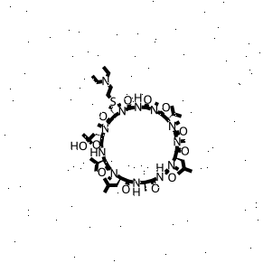 CCN(CC)CCSC[C@H]1C(=O)N(C)[C@@H](CC(C)(C)O)C(=O)N[C@H](C(C)C)C(=O)N(C)[C@H](CC(C)C)C(=O)N[C@H](C)C(=O)NC(=O)N(C)[C@H](CC(C)C)C(=O)N(C)C(=O)N(C)[C@@H](C(C)C)C(=O)N(C)C(=O)NC(=O)N1C